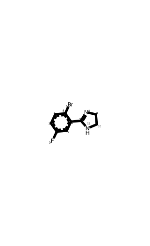 Fc1ccc(Br)c(C2=NCCN2)c1